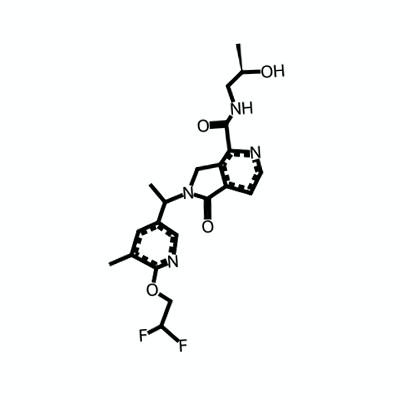 Cc1cc(C(C)N2Cc3c(ccnc3C(=O)NC[C@@H](C)O)C2=O)cnc1OCC(F)F